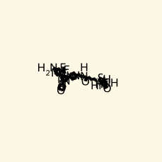 Nc1cc(C(F)(F)F)c(-c2nc(N3CCOCC3)nc(N3CCN(CCNC(=O)CCCC[C@@H]4SC[C@@H]5NC(=O)N[C@@H]54)CC3)n2)cn1